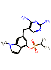 CC(C)S(=O)(=O)Oc1cc(Cc2cnc(N)nc2N)cc2c1ccn2C